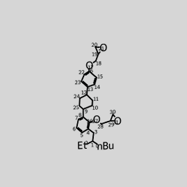 CCCCC(CC)Cc1cccc(C2CCC(c3ccc(OCC4CO4)cc3)CC2)c1OCC1CO1